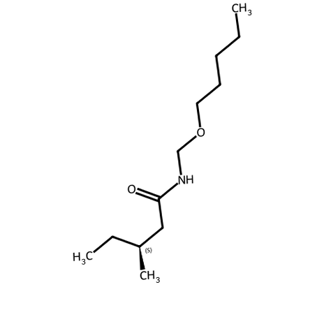 CCCCCOCNC(=O)C[C@@H](C)CC